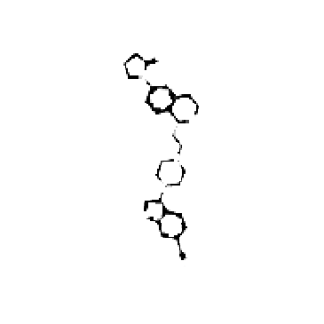 C[C@@H]1CN(c2csc3cc(C#N)ccc23)CCN1CC[C@@H]1OCCc2cc(N3CCCC3=O)ccc21